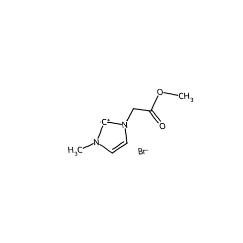 COC(=O)CN1[C+]N(C)C=C1.[Br-]